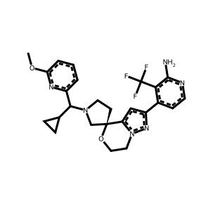 COc1cccc(C(C2CC2)N2CC[C@]3(C2)OCCn2nc(-c4ccnc(N)c4C(F)(F)F)cc23)n1